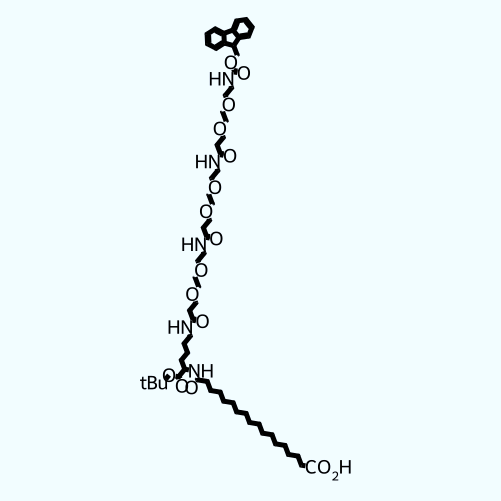 CC(C)(C)OC(=O)C(CCCCNC(=O)CCOCCOCCNC(=O)CCOCCOCCNC(=O)CCOCCOCCNC(=O)OCC1c2ccccc2-c2ccccc21)NC(=O)CCCCCCCCCCCCCCCCC(=O)O